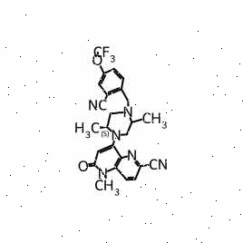 CC1CN(c2cc(=O)n(C)c3ccc(C#N)nc23)[C@@H](C)CN1Cc1ccc(OC(F)(F)F)cc1C#N